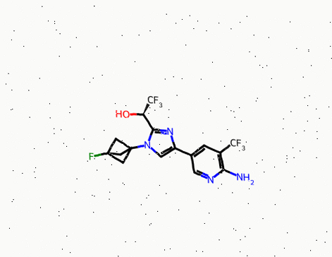 Nc1ncc(-c2cn(C34CC(F)(C3)C4)c([C@@H](O)C(F)(F)F)n2)cc1C(F)(F)F